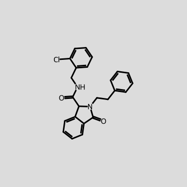 O=C(NCc1ccccc1Cl)C1c2ccccc2C(=O)N1CCc1ccccc1